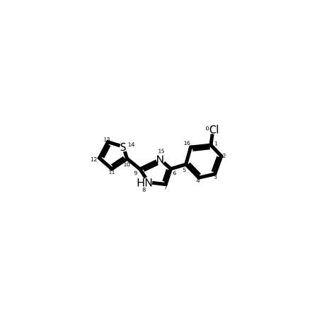 Clc1cccc(-c2c[nH]c(-c3cccs3)n2)c1